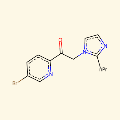 CCCc1nccn1CC(=O)c1ccc(Br)cn1